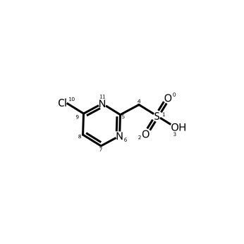 O=S(=O)(O)Cc1nccc(Cl)n1